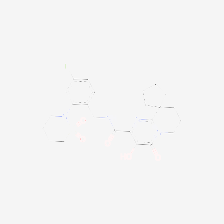 O=C(NCc1ccc(F)cc1N1CCCCS1(=O)=O)c1nc2n(c(=O)c1O)CCCC21CCCC1